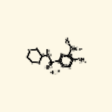 Cl.N=C(NC1CCCCC1)c1ccc(N)c([N+](=O)[O-])c1